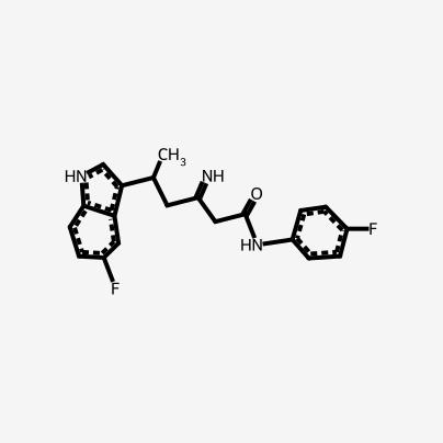 CC(CC(=N)CC(=O)Nc1ccc(F)cc1)c1c[nH]c2ccc(F)cc12